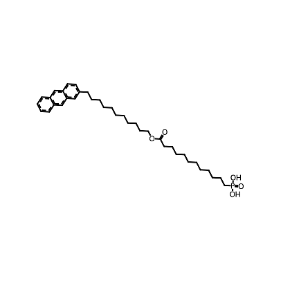 O=C(CCCCCCCCCCCP(=O)(O)O)OCCCCCCCCCCCc1ccc2cc3ccccc3cc2c1